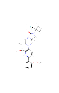 CCOc1ccccc1-c1ccc(N2C[C@H]3CN(C4(C(F)(F)F)CCC4)C(=O)N3C[C@H]2CC)c(C=O)n1